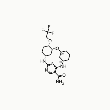 NC(=O)c1cnc(N[C@H]2CC[C@@H](OCC(F)(F)F)CC2)nc1N[C@@H]1CCC[C@H](O)C1